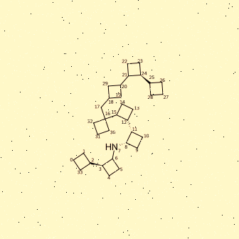 C1CC([C@@H]2CCC2N[C@H]2CC[C@H]2C2CCC2C2(CC3CC(C4CC[C@H]4C4CCC4)C3)CCC2)C1